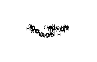 C[C@H](c1c(NC(=O)Nc2cnc(-n3nccn3)c(Cl)c2)cnc2cc(Cl)nn12)N(C)C(=O)C1CCN(CC2CCN(c3ccc(C4CCC(=O)NC4=O)cc3)CC2)CC1